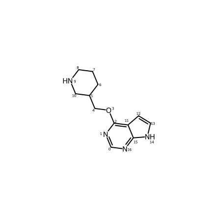 c1nc(OCC2CCCNC2)c2cc[nH]c2n1